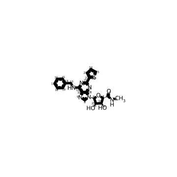 CNC(=O)[C@H]1O[C@@H](n2cnc3c(NCc4ccccc4)nc(-c4cccs4)nc32)[C@H](O)[C@@H]1O